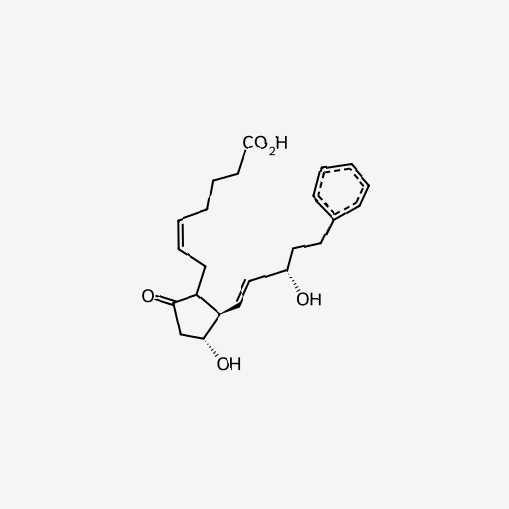 O=C(O)CCC/C=C\CC1C(=O)C[C@@H](O)[C@@H]1/C=C/[C@@H](O)CCc1ccccc1